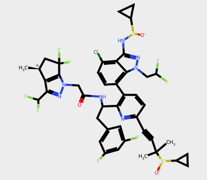 C[C@H]1CC(F)(F)c2c1c(C(F)F)nn2CC(=O)NC(Cc1cc(F)cc(F)c1)c1nc(C#CC(C)(C)[S+]([O-])C2CC2)ccc1-c1ccc(Cl)c2c(N[S+]([O-])C3CC3)nn(CC(F)F)c12